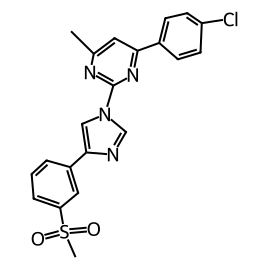 Cc1cc(-c2ccc(Cl)cc2)nc(-n2cnc(-c3cccc(S(C)(=O)=O)c3)c2)n1